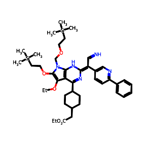 CCOC(=O)CC1CCC(C2=N/C(=C(/C=N)c3ccc(-c4ccccc4)nc3)Nc3c2c(OCC)c(OCC[Si](C)(C)C)n3COCC[Si](C)(C)C)CC1